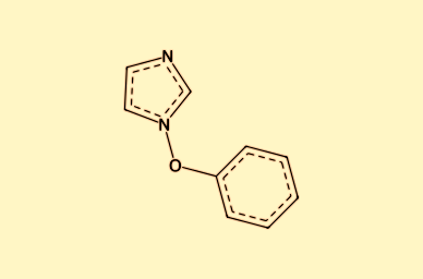 c1ccc(On2ccnc2)cc1